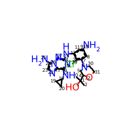 CC(C)(O)C1CN(c2cc(N)cc(Nc3nc(NC4CC4)c4ncc(N)n4n3)c2Cl)CCO1